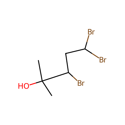 CC(C)(O)C(Br)CC(Br)Br